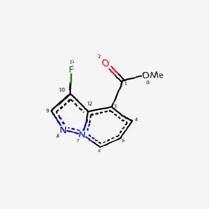 COC(=O)c1cccn2ncc(F)c12